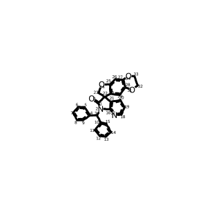 O=C1N(C(c2ccccc2)c2ccccc2)c2ncccc2C12COc1cc3c(cc12)OCCO3